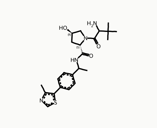 Cc1ncsc1-c1ccc(C(C)NC(=O)[C@@H]2C[C@@H](O)CN2C(=O)C(N)C(C)(C)C)cc1